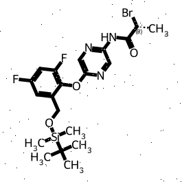 C[C@@H](Br)C(=O)Nc1cnc(Oc2c(F)cc(F)cc2CO[Si](C)(C)C(C)(C)C)cn1